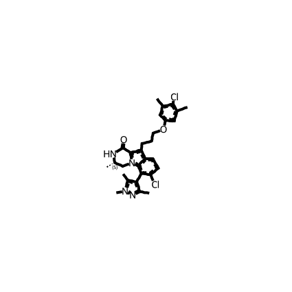 Cc1cc(OCCCc2c3n(c4c(-c5c(C)nn(C)c5C)c(Cl)ccc24)C[C@H](C)NC3=O)cc(C)c1Cl